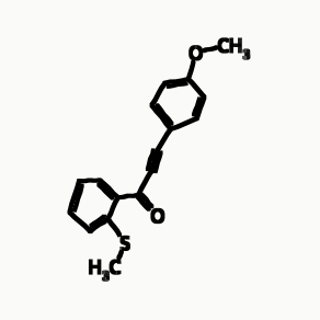 COc1ccc(C#CC(=O)c2ccccc2SC)cc1